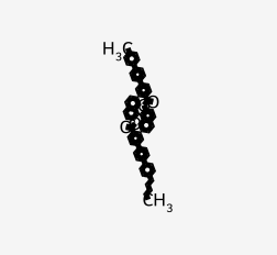 CCCCCC1CCC(c2ccc(-c3ccc(C(=O)O[C@@H]4CCC5=C(CCCC5)[C@@H]4c4c(OC(=O)c5ccc(-c6ccc(C7CCC(C)CC7)cc6)cc5)ccc5c4CCCC5)cc3)cc2)CC1